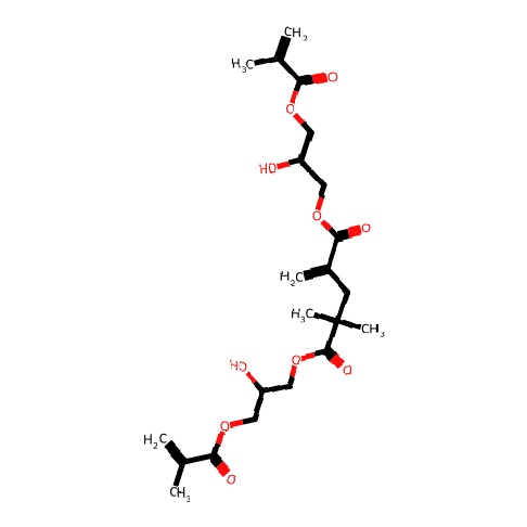 C=C(C)C(=O)OCC(O)COC(=O)C(=C)CC(C)(C)C(=O)OCC(O)COC(=O)C(=C)C